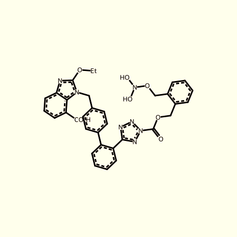 CCOc1nc2cccc(C(=O)O)c2n1Cc1ccc(-c2ccccc2-c2nnn(C(=O)OCc3ccccc3CON(O)O)n2)cc1